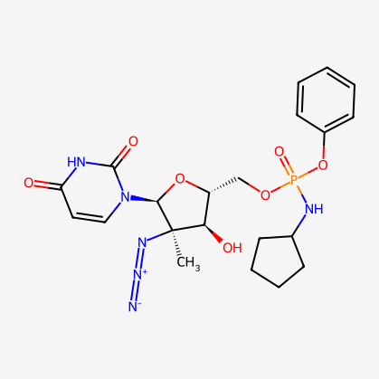 C[C@@]1(N=[N+]=[N-])[C@H](O)[C@@H](COP(=O)(NC2CCCC2)Oc2ccccc2)O[C@@H]1n1ccc(=O)[nH]c1=O